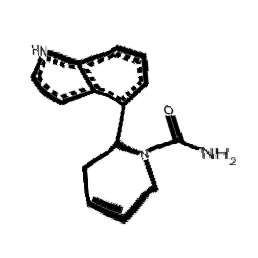 NC(=O)N1CC=CCC1c1cccc2[nH]ccc12